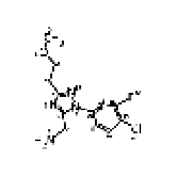 COCCc1nc(CN)n(-c2ccc(Cl)c(F)c2)n1